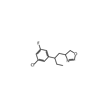 CCC(CC1CO[C]=N1)c1cc(F)cc(Cl)c1